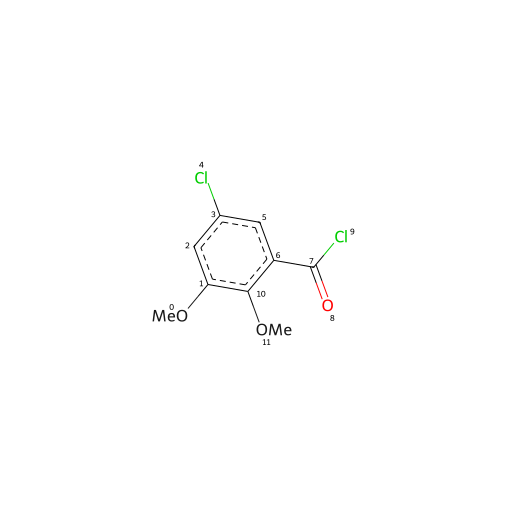 COc1cc(Cl)cc(C(=O)Cl)c1OC